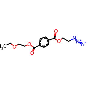 CCOCCOC(=O)c1ccc(C(=O)OCCN=[N+]=[N-])cc1